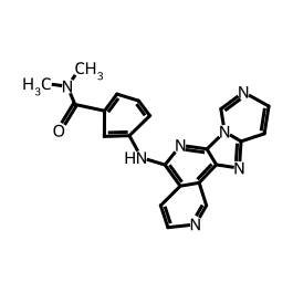 CN(C)C(=O)c1cccc(Nc2nc3c(nc4ccncn43)c3cnccc23)c1